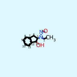 CCN(N=O)C1Cc2ccccc2C1O